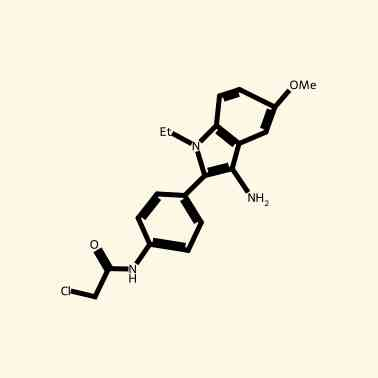 CCn1c(-c2ccc(NC(=O)CCl)cc2)c(N)c2cc(OC)ccc21